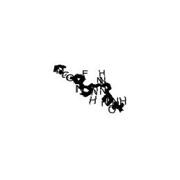 CC(C)C(=O)Nc1cncc(-c2ccc3[nH]nc(-c4cc5c(-c6cc(F)cc(OCCN7CCCC7)c6)nccc5[nH]4)c3n2)c1